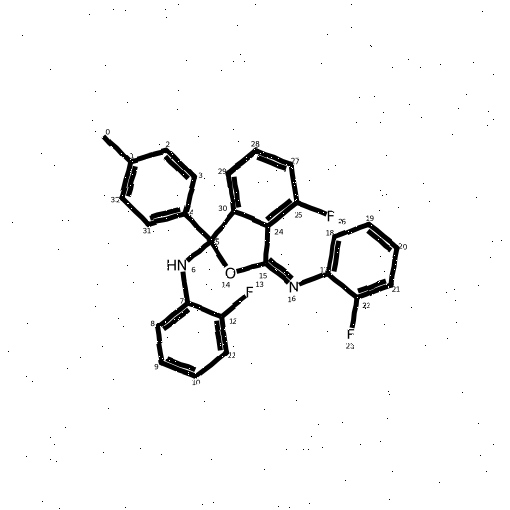 Cc1ccc(C2(Nc3ccccc3F)O/C(=N/c3ccccc3F)c3c(F)cccc32)cc1